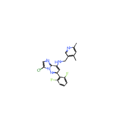 Cc1cc(C)c(CNc2cc(-c3c(F)cccc3F)nn3c(Cl)cnc23)cn1